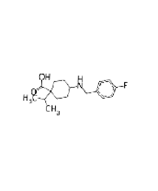 CC(C)C1(C(=O)O)CCC(NCc2ccc(F)cc2)CC1